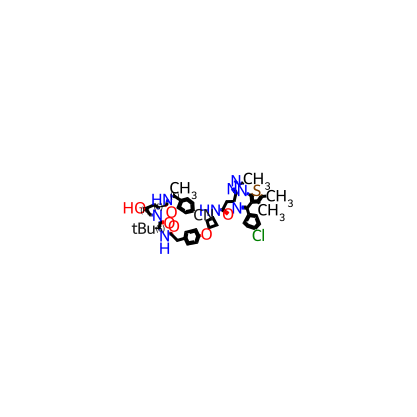 Cc1sc2c(c1C)C(c1ccc(Cl)cc1)=NC(CC(=O)N[C@H]1C[C@H](Oc3ccc(CC(=O)N[C@H](C(=O)N4C[C@H](O)C[C@H]4C(=O)N[C@@H](C)c4ccc(C#N)cc4)C(C)(C)C)cc3)C1)c1nnc(C)n1-2